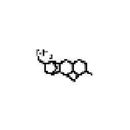 CC1CCC2CC3C4CC(CC4CN)C3C3CC1C23